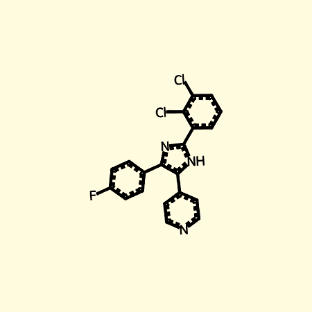 Fc1ccc(-c2nc(-c3cccc(Cl)c3Cl)[nH]c2-c2ccncc2)cc1